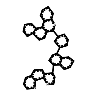 c1cc(-c2ccc(-c3ccnc4c3ccc3cccnc34)c3ccccc23)cc(-c2nc3ccccc3c3c2ccc2ccccc23)c1